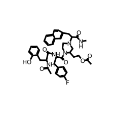 CNC(=O)C(Cc1ccc2ccccc2c1)N1CCN(C(=O)C(Cc2ccc(F)cc2)NC(=O)C(Cc2ccccc2O)NC(C)=O)C(CCOC(C)=O)C1